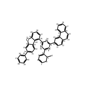 CC1CC=CC=C1c1nc(-c2ccc3ccc4ccccc4c3c2)nc(-c2cccc3oc4cc(-c5ccccc5)ccc4c23)n1